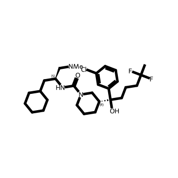 CNC[C@H](CC1CCCCC1)NC(=O)N1CCC[C@@H](C(O)(CCCC(C)(F)F)c2cccc(Cl)c2)C1